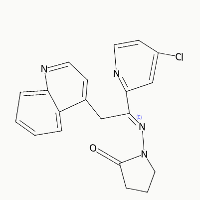 O=C1CCCN1/N=C(\Cc1ccnc2ccccc12)c1cc(Cl)ccn1